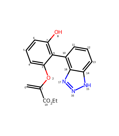 C=C(Oc1cccc(O)c1-c1cccc2[nH]nnc12)C(=O)OCC